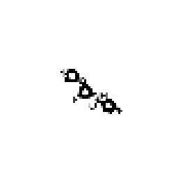 CN1CCC(Oc2cc(F)cc(NC(=O)c3ccc(F)cc3)c2)CC1